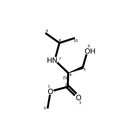 COC(=O)[C@H](CO)NC(C)C